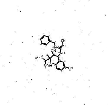 COC(OC)C1(C)Oc2ccc(C#N)cc2C(NC(=NC#N)NCc2ccccc2)C1O